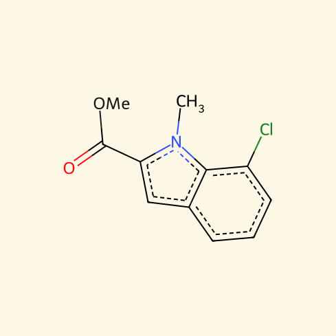 COC(=O)c1cc2cccc(Cl)c2n1C